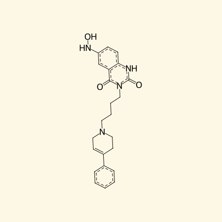 O=c1[nH]c2ccc(NO)cc2c(=O)n1CCCCN1CC=C(c2ccccc2)CC1